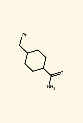 CC(C)CC1CCC(C(N)=O)CC1